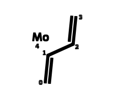 C=CC=C.[Mo]